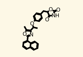 Cc1oc(-c2cccc3ccccc23)nc1C(C)Oc1ccc(CC2OC(=O)NC2=O)cc1